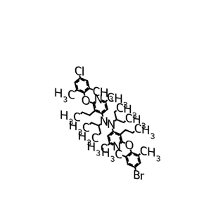 CCCc1c(N(C(CC)CC)N(c2cc(C)nc(Oc3c(C)cc(Br)cc3C)c2CCC)C(CC)CC)cc(C)nc1Oc1c(C)cc(Cl)cc1C